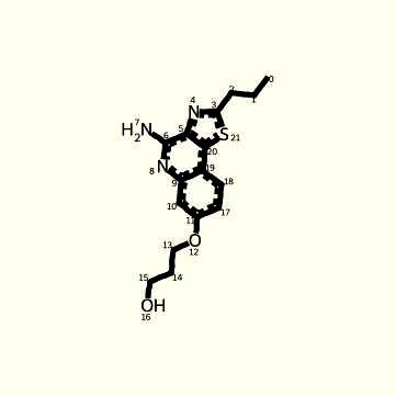 CCCc1nc2c(N)nc3cc(OCCCO)ccc3c2s1